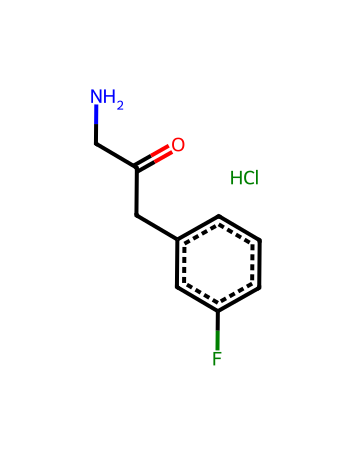 Cl.NCC(=O)Cc1cccc(F)c1